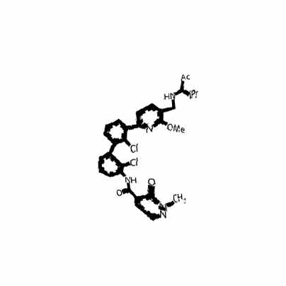 COc1nc(-c2cccc(-c3cccc(NC(=O)c4ccnn(C)c4=O)c3Cl)c2Cl)ccc1CNC(C(C)=O)C(C)C